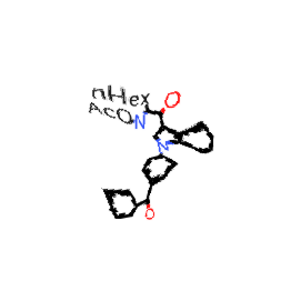 CCCCCCC(=NOC(C)=O)C(=O)c1cn(-c2ccc(C(=O)c3ccccc3)cc2)c2ccccc12